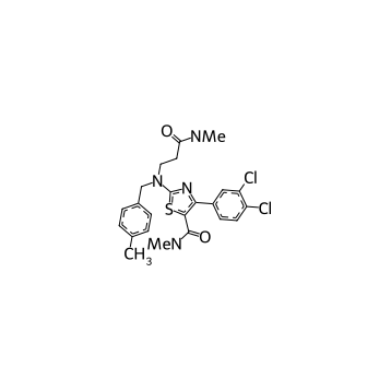 CNC(=O)CCN(Cc1ccc(C)cc1)c1nc(-c2ccc(Cl)c(Cl)c2)c(C(=O)NC)s1